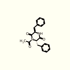 CC(=O)N1C(=O)C(=Cc2ccccc2)NC(=O)[C@@H]1Cc1ccccc1